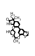 C[C@@H](Oc1cc(-c2ccc3c(c2)NC(=O)C3(C)C)cc2ncsc12)[C@H]1CNC(=O)C1